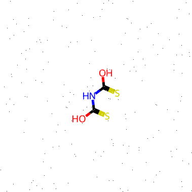 OC(=S)NC(O)=S